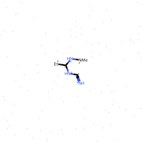 CCC(NC=N)NNC